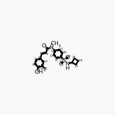 CN(C(=O)C=Cc1ccc(O)c(F)c1)c1ccc(S(=O)(=O)NC2CCC2)cc1